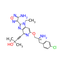 CCn1c(-c2nonc2N)nc2c(C#CC(C)(C)O)nc(OC[C@@H](N)Cc3ccc(Cl)cc3)cc21